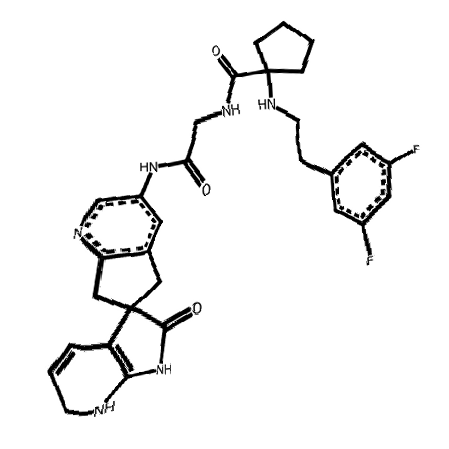 O=C(CNC(=O)C1(NCCc2cc(F)cc(F)c2)CCCC1)Nc1cnc2c(c1)CC1(C2)C(=O)NC2=C1C=CCN2